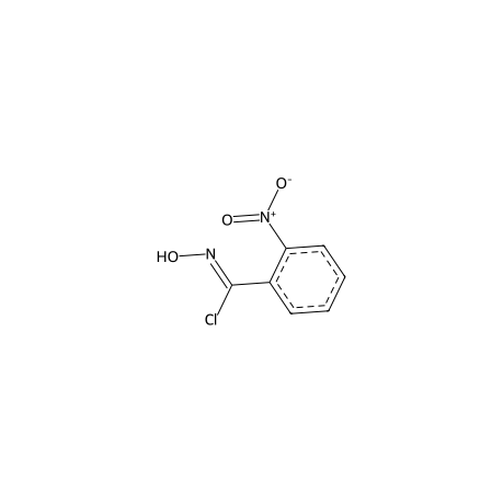 O=[N+]([O-])c1ccccc1C(Cl)=NO